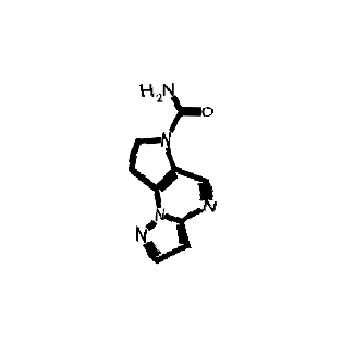 NC(=O)N1CCc2c1cnc1ccnn21